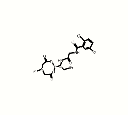 CC(C)C[C@H](NC(=O)CNC(=O)c1cc(Cl)ccc1Cl)B1OC(=O)CN(C(C)C)CC(=O)O1